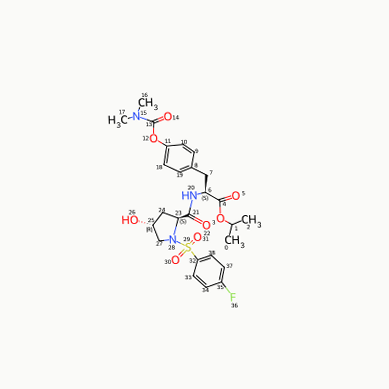 CC(C)OC(=O)[C@H](Cc1ccc(OC(=O)N(C)C)cc1)NC(=O)[C@@H]1C[C@@H](O)CN1S(=O)(=O)c1ccc(F)cc1